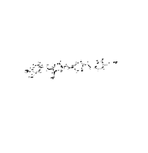 CCCCCCc1ccc(CCC2CCC(CCc3ccc(CCc4ccc(Cl)c(F)c4)c(F)c3)CC2)cc1